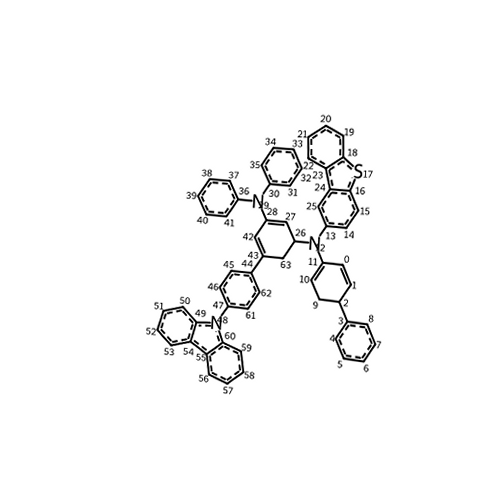 C1=CC(c2ccccc2)CC=C1N(c1ccc2sc3ccccc3c2c1)C1C=C(N(c2ccccc2)c2ccccc2)C=C(c2ccc(-n3c4ccccc4c4ccccc43)cc2)C1